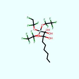 CCCCCCC(O)(O)C(O)(O)[Si](OC(F)(F)CF)(OC(F)(F)C(F)(F)F)OC(F)(F)C(F)(F)F